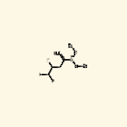 C=C(CC(F)C(F)F)[SiH](OCC)OCC